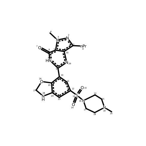 CCCc1nn(C)c2c(=O)[nH]c(-c3cc(S(=O)(=O)N4CCN(C)CC4)cc4c3OCN4)nc12